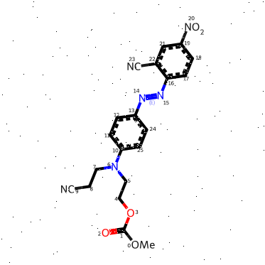 COC(=O)OCCN(CCC#N)c1ccc(/N=N/c2ccc([N+](=O)[O-])cc2C#N)cc1